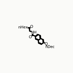 CCCCCCCCCCOc1ccc2cc(C(=O)NCC(=O)CCCCCC)ccc2c1